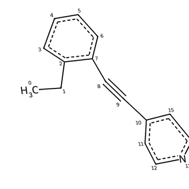 CCc1ccccc1C#Cc1ccncc1